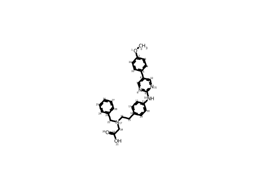 COc1ccc(-c2cnc(Nc3ccc(CCN(CC(=O)O)Cc4ccccc4)cc3)nc2)cc1